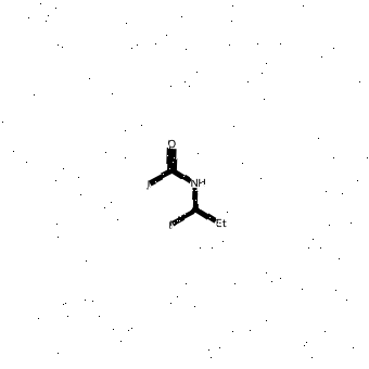 CCC(I)NC(=O)I